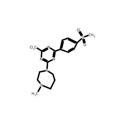 CN1CCCN(c2nc(-c3ccc(S(C)(=O)=O)cc3)nc(C(Cl)(Cl)Cl)n2)CC1